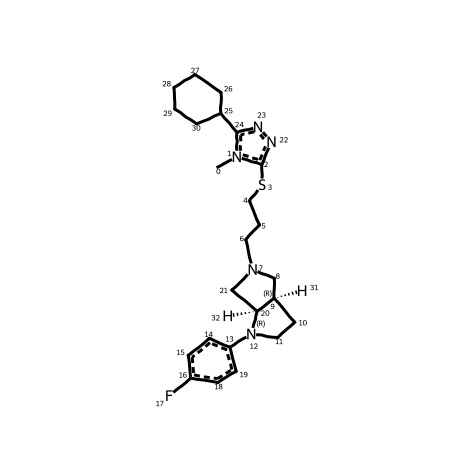 Cn1c(SCCCN2C[C@H]3CCN(c4ccc(F)cc4)[C@H]3C2)nnc1C1CCCCC1